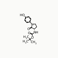 CC(C)(C)OC(=O)N[C@H]1CCN(c2ccc(O)cc2)C1=O